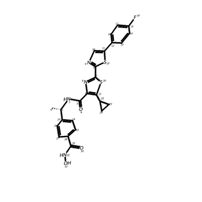 C[C@H](NC(=O)c1nc(-c2ncc(-c3ccc(F)cc3)s2)sc1C1CC1)c1ccc(C(=O)NO)cc1